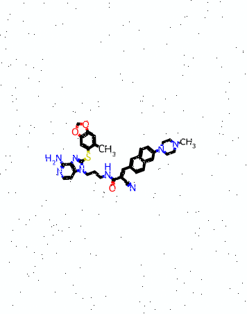 Cc1cc2c(cc1Sc1nc3c(N)nccc3n1CCCNC(=O)/C(C#N)=C/c1ccc3cc(N4CCN(C)CC4)ccc3c1)OCO2